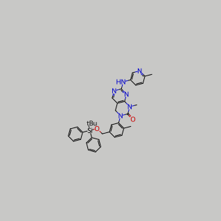 Cc1ccc(Nc2ncc3c(n2)N(C)C(=O)N(c2cc(CO[Si](c4ccccc4)(c4ccccc4)C(C)(C)C)ccc2C)C3)cn1